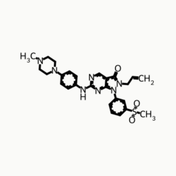 C=CCn1c(=O)c2cnc(Nc3ccc(N4CCN(C)CC4)cc3)nc2n1-c1cccc(S(C)(=O)=O)c1